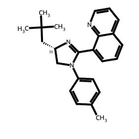 Cc1ccc(N2C[C@H](CC(C)(C)C)N=C2c2cccc3cccnc23)cc1